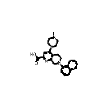 O=C(O)c1cc(N2CCNCC2)c2c(n1)CN(c1cccc3ccccc13)CC2